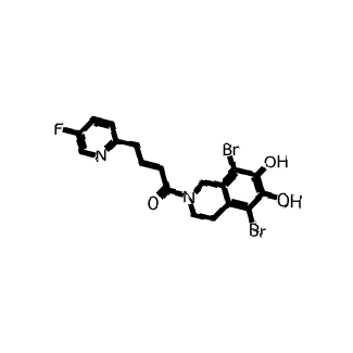 O=C(CCCc1ccc(F)cn1)N1CCc2c(Br)c(O)c(O)c(Br)c2C1